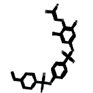 CCC1CCC(C(F)(F)Oc2ccc(C(F)(F)Oc3cc(F)c(OC=C(F)F)c(F)c3)cc2)CC1